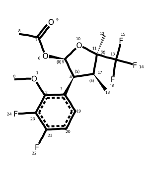 COc1c([C@H]2[C@@H](OC(C)=O)O[C@@](C)(C(F)(F)F)[C@H]2C)ccc(F)c1F